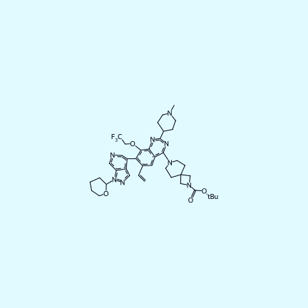 C=Cc1cc2c(N3CCC4(CC3)CN(C(=O)OC(C)(C)C)C4)nc(C3CCN(C)CC3)nc2c(OCC(F)(F)F)c1-c1cncc2c1cnn2C1CCCCO1